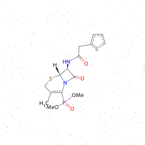 COP(=O)(OC)C1=C(C)CS[C@@H]2[C@@H](NC(=O)Cc3cccs3)C(=O)N12